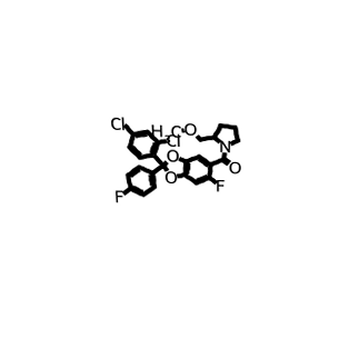 COCC1CCCN1C(=O)c1cc2c(cc1F)OC(c1ccc(F)cc1)(c1ccc(Cl)cc1Cl)O2